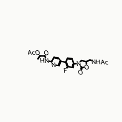 CC(=O)NCC1CN(c2ccc(-c3ccc(NC(=O)[C@H](C)OC(C)=O)nc3)c(F)c2)C(=O)O1